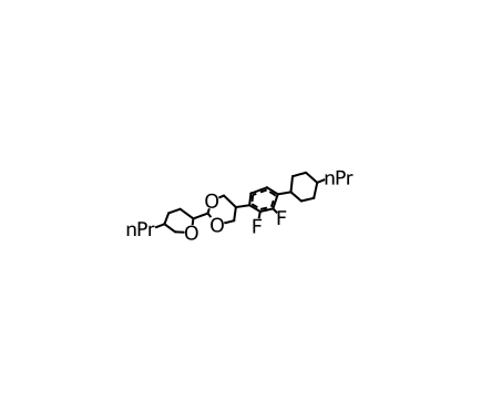 CCCC1CCC(c2ccc(C3COC(C4CCC(CCC)CO4)OC3)c(F)c2F)CC1